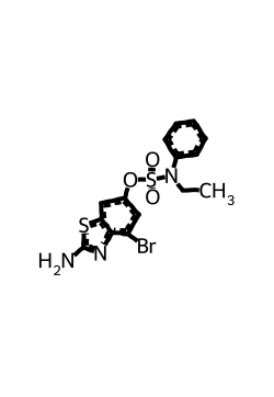 CCN(c1ccccc1)S(=O)(=O)Oc1cc(Br)c2nc(N)sc2c1